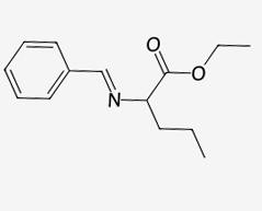 CCCC(N=Cc1ccccc1)C(=O)OCC